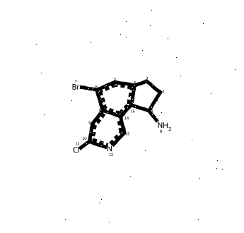 NC1CCc2cc(Br)c3cc(Cl)ncc3c21